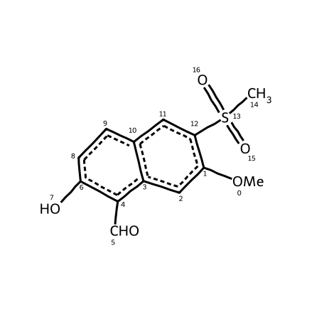 COc1cc2c(C=O)c(O)ccc2cc1S(C)(=O)=O